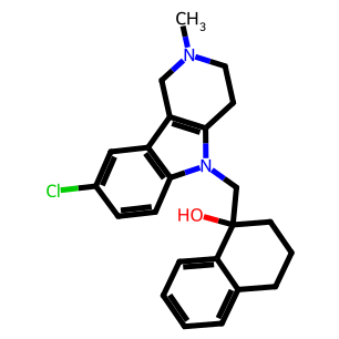 CN1CCc2c(c3cc(Cl)ccc3n2CC2(O)CCCc3ccccc32)C1